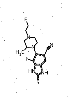 CC1CN(CCF)CCN1c1c(C#N)cc2[nH]c(=S)[nH]c2c1F